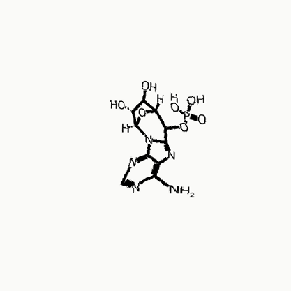 Nc1ncnc2c1nc1n2[C@@H]2O[C@@H](C1OP(=O)(O)O)C(O)[C@H]2O